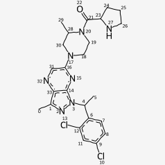 Cc1nn(C(C)c2ccc(Cl)cc2Cl)c2nc(N3CCN(C(=O)C4CCCN4)C(C)C3)cnc12